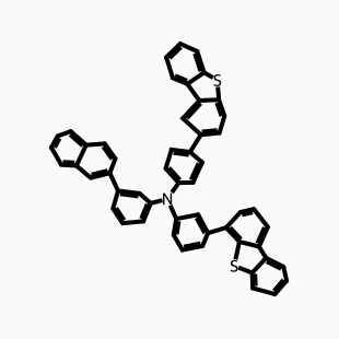 c1cc(-c2ccc3ccccc3c2)cc(N(c2ccc(-c3ccc4sc5ccccc5c4c3)cc2)c2cccc(-c3cccc4c3sc3ccccc34)c2)c1